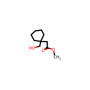 COC(=O)CC1(CO)CCCCC1